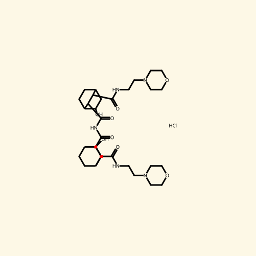 Cl.O=C(NCCN1CCOCC1)C1C2CCC(C(O)C2)C1C(=O)NC(=O)C1C2CCC(CC2O)C1C(=O)NCCN1CCOCC1